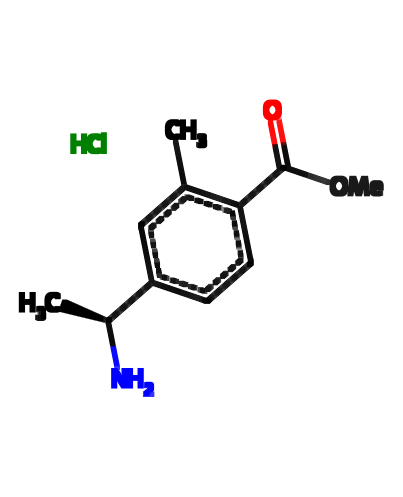 COC(=O)c1ccc([C@H](C)N)cc1C.Cl